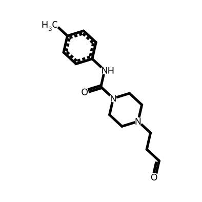 Cc1ccc(NC(=O)N2CCN(CCC=O)CC2)cc1